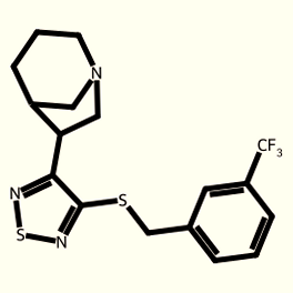 FC(F)(F)c1cccc(CSc2nsnc2C2CN3CCCC2C3)c1